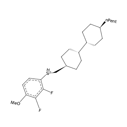 CCCCC[C@H]1CC[C@H]([C@H]2CC[C@H](C[SiH2]c3ccc(OC)c(F)c3F)CC2)CC1